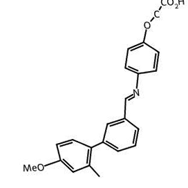 COc1ccc(-c2cccc(/C=N/c3ccc(OCC(=O)O)cc3)c2)c(C)c1